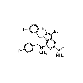 CCc1c(CC)n(Cc2cccc(F)c2)c2c(N(C)Cc3ccc(F)cc3)nc(C(N)=O)cc12